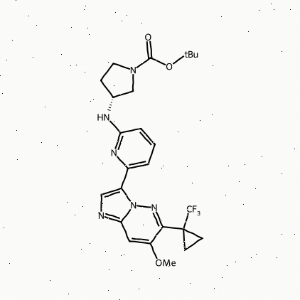 COc1cc2ncc(-c3cccc(N[C@@H]4CCN(C(=O)OC(C)(C)C)C4)n3)n2nc1C1(C(F)(F)F)CC1